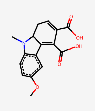 COc1ccc2c(c1)C1=C(C(=O)O)C(C(=O)O)=CCC1N2C